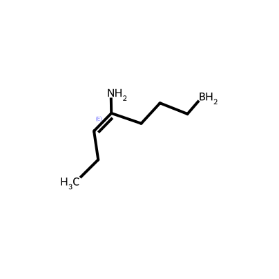 BCCC/C(N)=C\CC